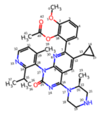 COc1cccc(-c2nc3c(cc2C2CC2)c(N2CCNC[C@@H]2C)nc(=O)n3-c2c(C)ccnc2C(C)C)c1OC(C)=O